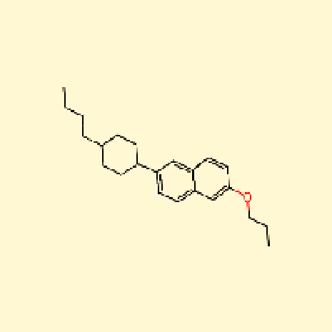 CCCCC1CCC(c2ccc3cc(OCCC)ccc3c2)CC1